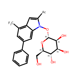 CC(=O)c1cc2c(C(F)(F)F)cc(-c3ccccc3)cc2n1O[C@H]1O[C@H](CO)[C@@H](O)[C@H](O)[C@@H]1O